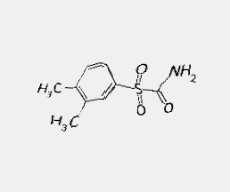 Cc1ccc(S(=O)(=O)C(N)=O)cc1C